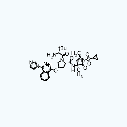 C=CC[C@@](C)(NC(=O)[C@@H]1C[C@@H](Oc2nnc(-n3ccnc3)c3ccccc23)CN1C(=O)[C@@H](N)C(C)(C)C)C(=O)NS(=O)(=O)C1CC1